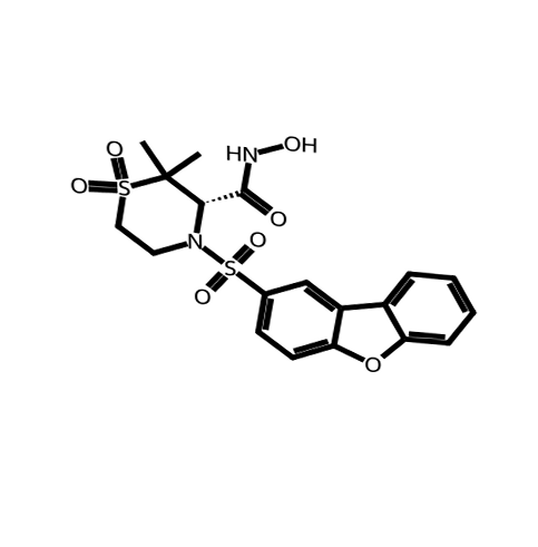 CC1(C)[C@H](C(=O)NO)N(S(=O)(=O)c2ccc3oc4ccccc4c3c2)CCS1(=O)=O